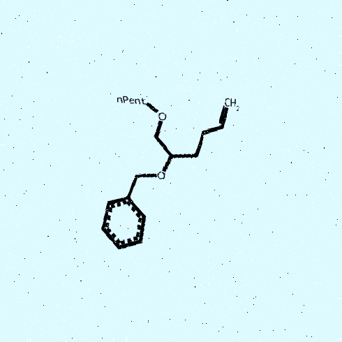 C=CCCC(COCCCCC)OCc1ccccc1